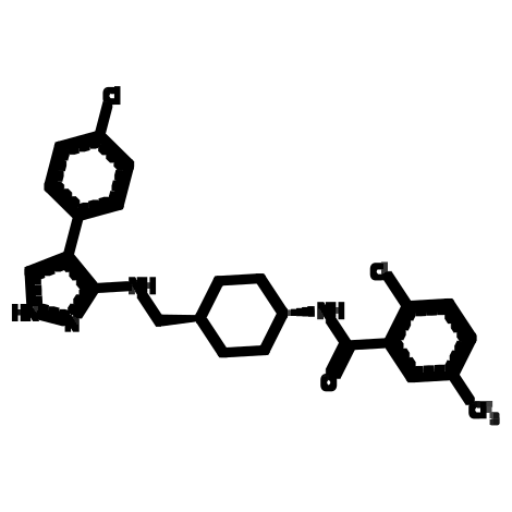 O=C(N[C@H]1CC[C@H](CNc2n[nH]cc2-c2ccc(Cl)cc2)CC1)c1cc(C(F)(F)F)ccc1Cl